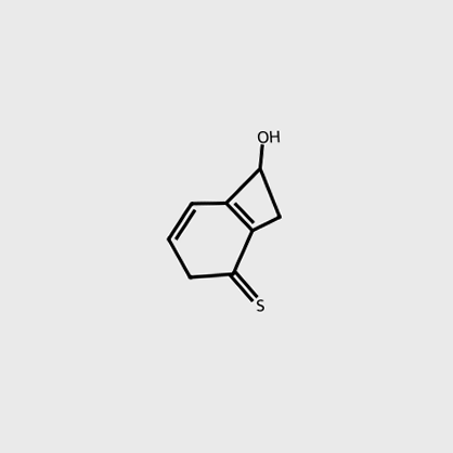 OC1CC2=C1C=CCC2=S